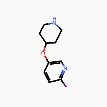 Ic1ccc(OC2CCNCC2)cn1